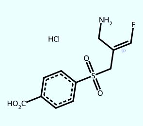 Cl.NC/C(=C\F)CS(=O)(=O)c1ccc(C(=O)O)cc1